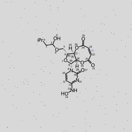 CC(C)CC(O)OC[C@H]1O[C@@H](n2ccc(NO)nc2=O)[C@@H]2OC(=O)/C=C\C(=O)O[C@@H]21